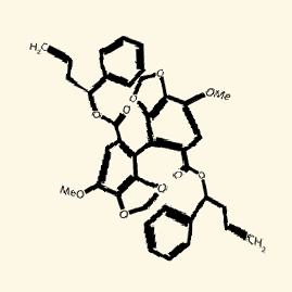 C=CCC(OC(=O)c1cc(OC)c2c(c1-c1c(C(=O)O[C@@H](CC=C)c3ccccc3)cc(OC)c3c1OCO3)OCO2)c1ccccc1